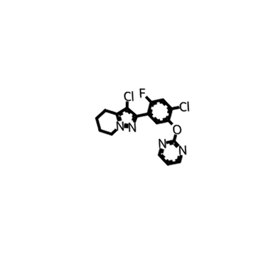 Fc1cc(Cl)c(Oc2ncccn2)cc1-c1nn2c(c1Cl)CCCC2